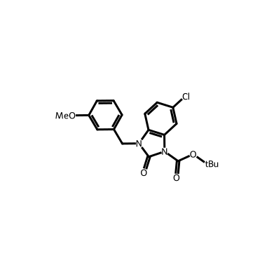 COc1cccc(Cn2c(=O)n(C(=O)OC(C)(C)C)c3cc(Cl)ccc32)c1